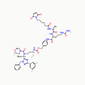 CC(C)[C@H](NC(=O)CCCCCN1C(=O)C=CC1=O)C(=O)N[C@@H](CCCNC(N)=O)C(=O)Nc1ccc(COC(=O)N[C@H](CF)CCN(C(=O)N2C[C@@H](C)O[C@@H](C)C2)[C@@H](c2nc(-c3cc(F)cc(F)c3)nn2Cc2ccccc2)C(C)(C)C)cc1